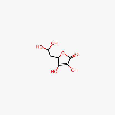 O=C1OC(CC(O)O)C(O)=C1O